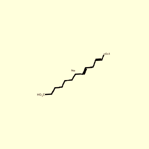 CCCCCCCCC=CCC=CCCCCCCC(=O)O.[Na]